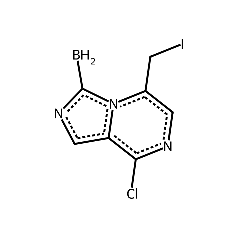 Bc1ncc2c(Cl)ncc(CI)n12